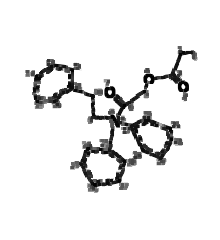 CCC(=O)OCC(=O)[N+](CCc1ccccc1)(c1ccccc1)c1ccccc1